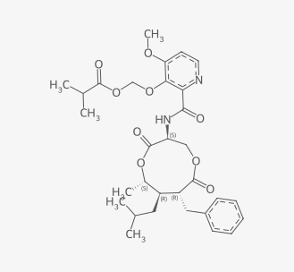 COc1ccnc(C(=O)N[C@H]2COC(=O)[C@H](Cc3ccccc3)[C@@H](CC(C)C)[C@H](C)OC2=O)c1OCOC(=O)C(C)C